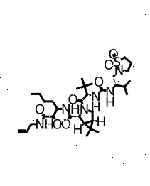 C=CCNC(=O)C(=O)C(CCCC)NC(=O)[C@@H]1[C@@H]2[C@H](CN1C(=O)[C@@H](NC(=O)N[C@H](CN1CCCS1(=O)=O)C(C)C)C(C)(C)C)C2(C)C